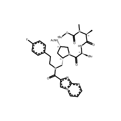 CC(=O)N[C@H]1C[C@@H](CN(CCc2ccc(F)cc2)C(=O)c2cn3cccnc3n2)N(C(=O)[C@@H](NC(=O)[C@H](C)N(C)C(=O)OC(C)(C)C)C(C)(C)C)C1